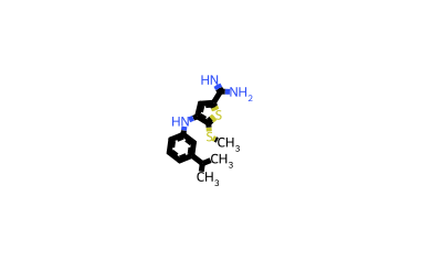 CSc1sc(C(=N)N)cc1Nc1cccc(C(C)C)c1